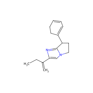 C=C(CC)c1cn2c(n1)C(C1=CC=CCC1)CC2